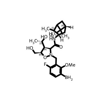 Bc1ccc(F)c(CN2O[C@@H](CO)[C@@H]([C@H](C)O)C2C(=O)N[C@H]2C[C@H]3CC([C@@H]2C)C3(C)C)c1OC